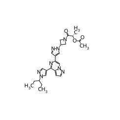 CCC(CC)n1cc(-c2nc(-c3cnn(C4CN(C(=O)[C@H](C)OC(C)=O)C4)c3)cn3nccc23)cn1